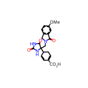 COc1ccc2c(c1)C(=O)N(CC1(C3C=CC(C(=O)O)=CC3)NC(=O)NC1=O)C2